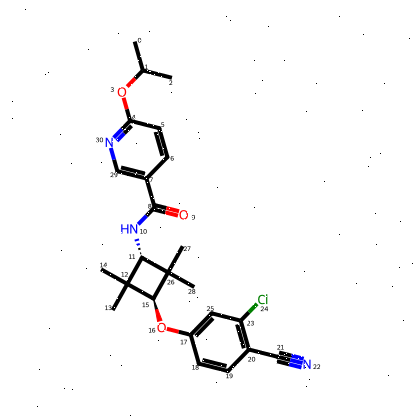 CC(C)Oc1ccc(C(=O)N[C@H]2C(C)(C)[C@H](Oc3ccc(C#N)c(Cl)c3)C2(C)C)cn1